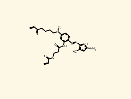 C=CC(=O)CCCCN(CC)c1ccc(/N=N/c2[nH]c(N)cc2C#N)c(NC(=O)CCOC(=O)C=C)c1